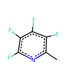 [CH2]c1nc(F)c(F)c(F)c1F